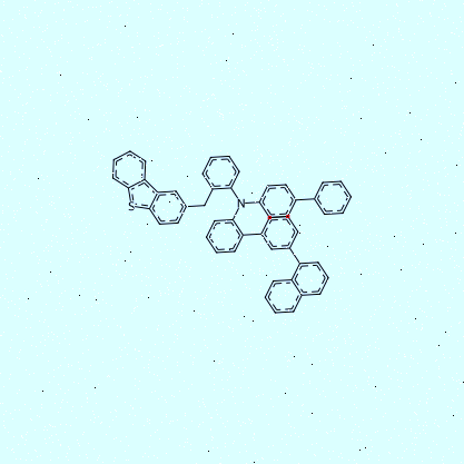 c1ccc(-c2ccc(N(c3ccccc3Cc3ccc4sc5ccccc5c4c3)c3ccccc3-c3cccc(-c4cccc5ccccc45)c3)cc2)cc1